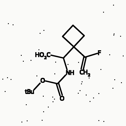 C=C(F)C1(C(NC(=O)OC(C)(C)C)C(=O)O)CCC1